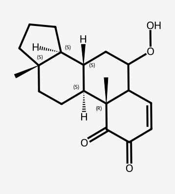 C[C@@]12CCC[C@H]1[C@@H]1CC(OO)C3C=CC(=O)C(=O)[C@]3(C)[C@H]1CC2